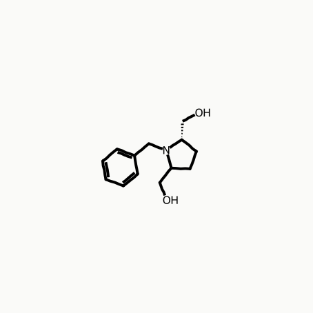 OCC1CC[C@@H](CO)N1Cc1ccccc1